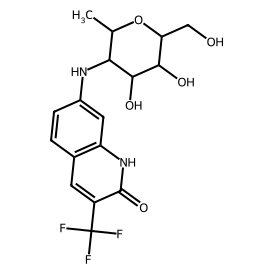 CC1OC(CO)C(O)C(O)C1Nc1ccc2cc(C(F)(F)F)c(=O)[nH]c2c1